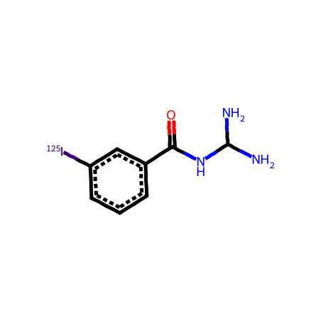 NC(N)NC(=O)c1cccc([125I])c1